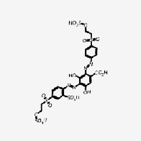 O=C(O)c1cc(O)c(N=Nc2ccc(S(=O)(=O)CCOS(=O)(=O)O)cc2S(=O)(=O)O)c(O)c1N=Nc1ccc(S(=O)(=O)CCOS(=O)(=O)O)cc1